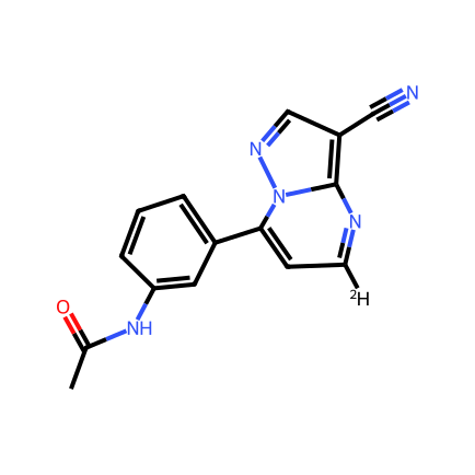 [2H]c1cc(-c2cccc(NC(C)=O)c2)n2ncc(C#N)c2n1